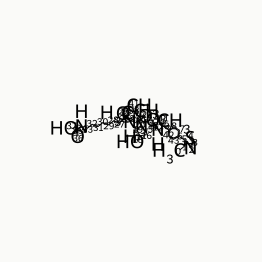 Cc1ncsc1-c1ccc([C@H](C)NC(=O)[C@@H]2C[C@@H](O)CN2C(=O)[C@@H](NC(=O)CCCCCCCNC(=O)O)C(C)(C)C)cc1